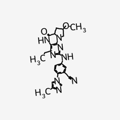 CCc1nc(Nc2ccc(-n3cnc(C)c3)c(C#N)c2)nc2c1NC(=O)C1CC(OC)CN21